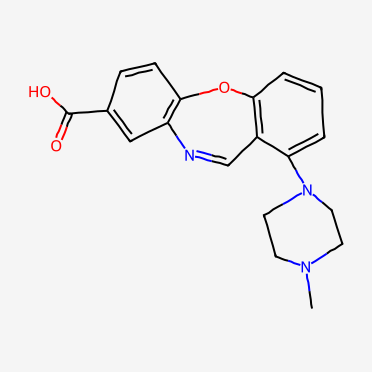 CN1CCN(c2cccc3c2C=Nc2cc(C(=O)O)ccc2O3)CC1